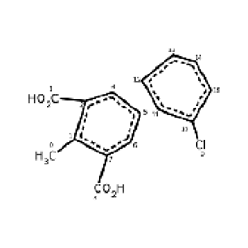 Cc1c(C(=O)O)cccc1C(=O)O.Clc1ccccc1